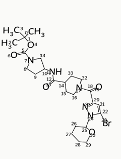 CC(C)(C)OC(=O)N1CCC(NC(=O)C2CCN(C(=O)c3cc(Br)n(C4CCCCO4)n3)CC2)C1